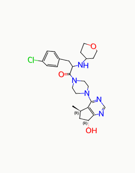 C[C@@H]1C[C@@H](O)c2ncnc(N3CCN(C(=O)C(Cc4ccc(Cl)cc4)NC4CCOCC4)CC3)c21